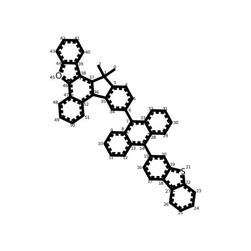 CC1(C)c2ccc(-c3c4ccccc4c(-c4ccc5c(c4)sc4ccccc45)c4ccccc34)cc2-c2c1c1c3ccccc3oc1c1ccccc21